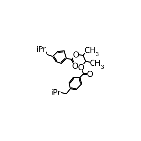 CC(C)Cc1ccc(C(=O)OC(C)C(C)OC(=O)c2ccc(CC(C)C)cc2)cc1